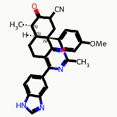 COc1ccc([C@]23CC(C#N)C(=O)[C@@H](C)[C@@H]2CCc2c(-c4ccc5[nH]cnc5c4)nc(C)nc23)cc1